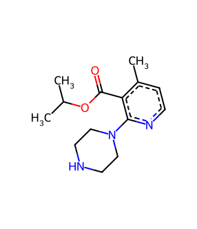 Cc1ccnc(N2CCNCC2)c1C(=O)OC(C)C